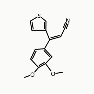 COc1ccc(C(=CC#N)c2ccsc2)cc1OC